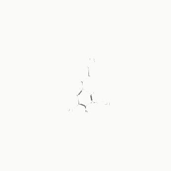 CC(C)(C)c1cc(CCCCS)cc(C(C)(C)C)c1O